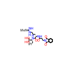 CNC(=N)NCCC[C@H](NC(=O)CCN1C(=O)c2ccccc2C1=O)C(=O)N[C@@H](CC(C)C)B(O)O